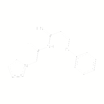 N=C(/C=C\Nc1ccccc1)NC(=O)Cn1cccc1